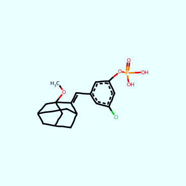 COC12CC3CC(CC(C3)C1=Cc1cc(Cl)cc(OP(=O)(O)O)c1)C2